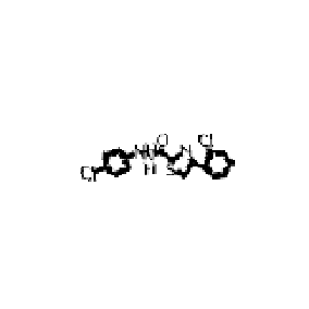 O=C(NNc1ccc(Cl)cc1)c1nc(-c2ccccc2Cl)cs1